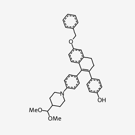 COC(OC)C1CCN(c2ccc(C3=C(c4ccc(O)cc4)CCc4cc(OCc5ccccc5)ccc43)cc2)CC1